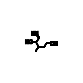 CC(CCO)C(O)C=N